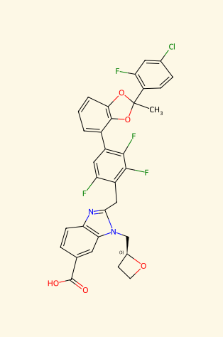 CC1(c2ccc(Cl)cc2F)Oc2cccc(-c3cc(F)c(Cc4nc5ccc(C(=O)O)cc5n4C[C@@H]4CCO4)c(F)c3F)c2O1